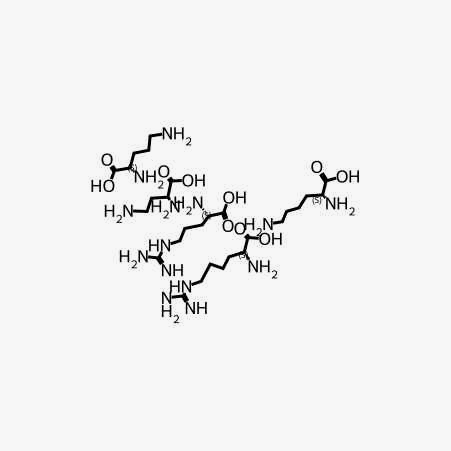 N=C(N)NCCCC[C@H](N)C(=O)O.N=C(N)NCCC[C@H](N)C(=O)O.NCCC(N)C(=O)O.NCCCC[C@H](N)C(=O)O.NCCC[C@H](N)C(=O)O